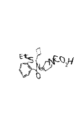 CCSc1ccccc1C(=O)N(CC1CCC1)[C@H]1CCN(C(=O)O)C1